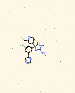 CN1C(=O)C(c2cc(Cl)cc(-c3cnccn3)c2)(c2ccnc(CF)c2)N=C1N